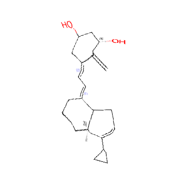 C=C1/C(=C\C=C2/CCC[C@]3(C)C(C4CC4)=CCC23)CC(O)C[C@@H]1O